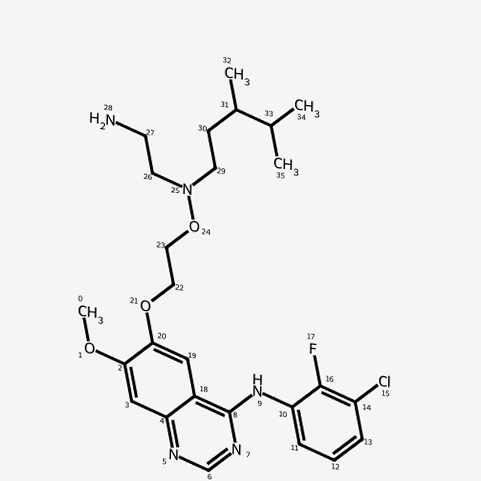 COc1cc2ncnc(Nc3cccc(Cl)c3F)c2cc1OCCON(CCN)CCC(C)C(C)C